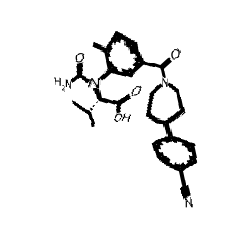 Cc1ccc(C(=O)N2CCC(c3ccc(C#N)cc3)CC2)cc1N(C(N)=O)[C@H](C(=O)O)C(C)C